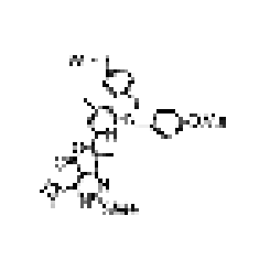 COc1ccc(CN(Cc2ccc(OC)cc2)c2cc(C)cc(-c3oc(=O)c4c(N5CC[C@H]5C)nc(SC)nc4c3C)n2)cc1